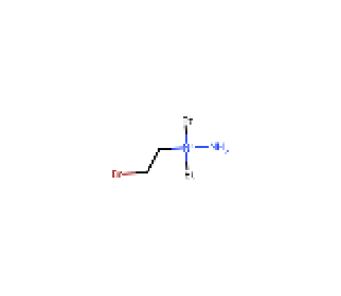 CC[N+](N)(CC)CCBr